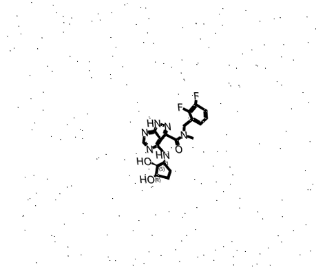 CN(Cc1cccc(F)c1F)C(=O)c1n[nH]c2ncnc(N[C@@H]3CC[C@@H](O)[C@H]3O)c12